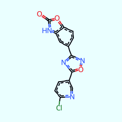 O=c1[nH]c2cc(-c3noc(-c4ccc(Cl)nc4)n3)ccc2o1